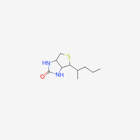 CCCC(C)C1SCC2NC(=O)NC21